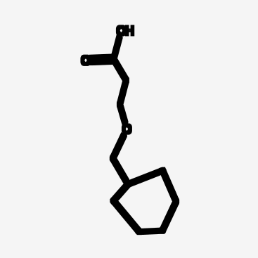 O=C(O)CCOCC1CCCCC1